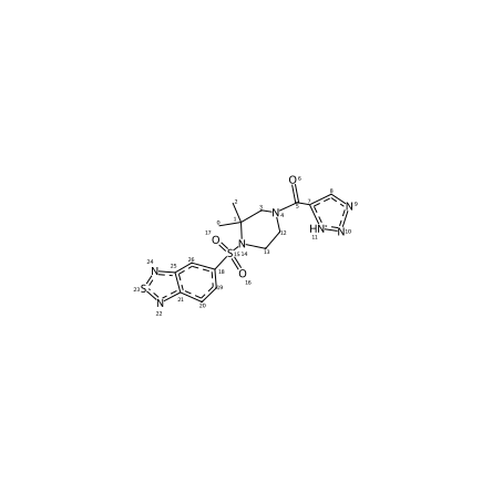 CC1(C)CN(C(=O)c2cnn[nH]2)CCN1S(=O)(=O)c1ccc2nsnc2c1